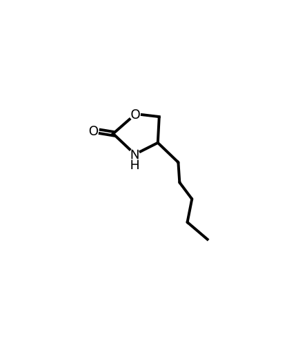 CCCCCC1COC(=O)N1